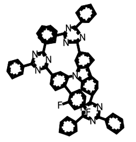 Fc1ccc(-c2ccc(-c3nc(-c4ccccc4)nc(-c4ccccc4)n3)cc2-n2c3cc(-c4nc(-c5ccccc5)nc(-c5ccccc5)n4)ccc3c3ccc(-c4nc(-c5ccccc5)nc(-c5ccccc5)n4)cc32)c(F)c1